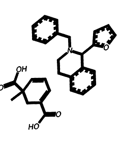 CC1(C(=O)O)C=CC=C(C(=O)O)C1.c1ccc(CN2CCc3ccccc3C2c2ccco2)cc1